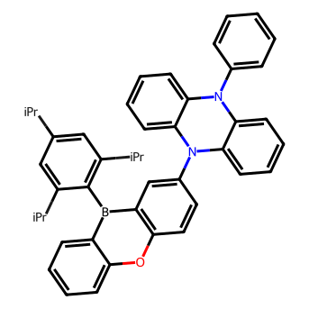 CC(C)c1cc(C(C)C)c(B2c3ccccc3Oc3ccc(N4c5ccccc5N(c5ccccc5)c5ccccc54)cc32)c(C(C)C)c1